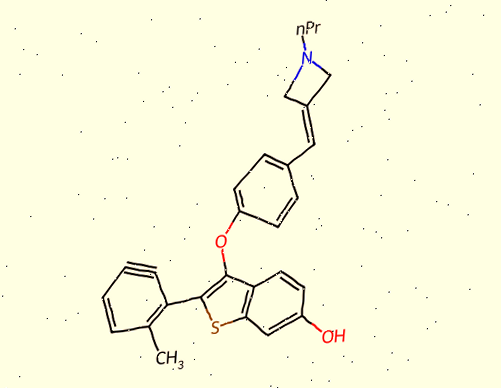 CCCN1CC(=Cc2ccc(Oc3c(-c4c#cccc4C)sc4cc(O)ccc34)cc2)C1